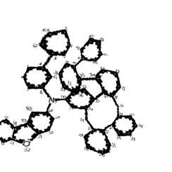 c1ccc(-c2cccc(N(c3ccc4c(c3)Cc3ccccc3-c3ccccc3Cc3cccc(-c5ccccc5-c5ccccc5)c3-4)c3ccc4oc5ccccc5c4c3)c2)cc1